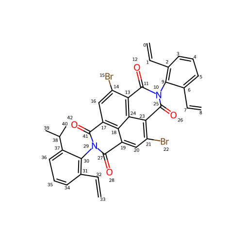 C=Cc1cccc(C=C)c1N1C(=O)c2c(Br)cc3c4c(cc(Br)c(c24)C1=O)C(=O)N(c1c(C=C)cccc1C(C)C)C3=O